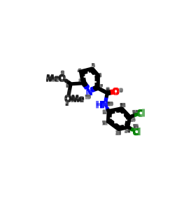 COC(OC)c1cccc(C(=O)Nc2ccc(Cl)c(Cl)c2)n1